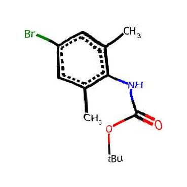 Cc1cc(Br)cc(C)c1NC(=O)OC(C)(C)C